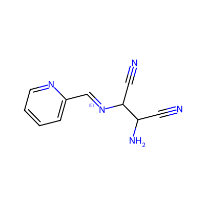 N#CC(N)C(C#N)/N=C/c1ccccn1